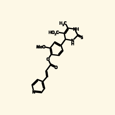 COc1cc(C2NC(=S)NC(C)=C2C(=O)O)ccc1OC(=O)C=Cc1ccncc1